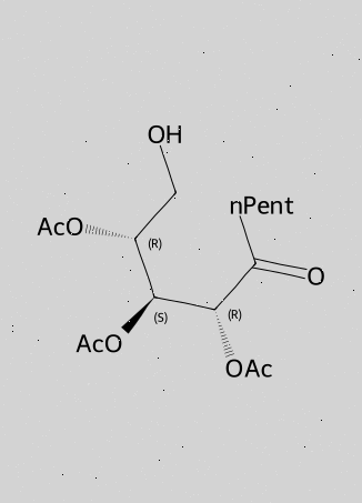 CCCCCC(=O)[C@H](OC(C)=O)[C@@H](OC(C)=O)[C@@H](CO)OC(C)=O